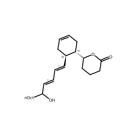 CCCCCCCCC(O)/C=C/C=C/[C@H]1CC=CC[C@@H]1C1CCCC(=O)O1